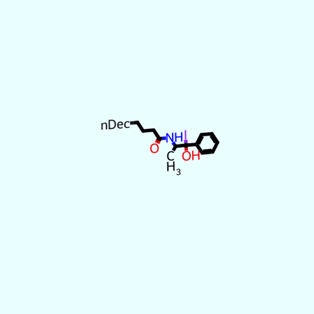 CCCCCCCCCCCCCC(=O)NC(C)C(O)(I)c1ccccc1